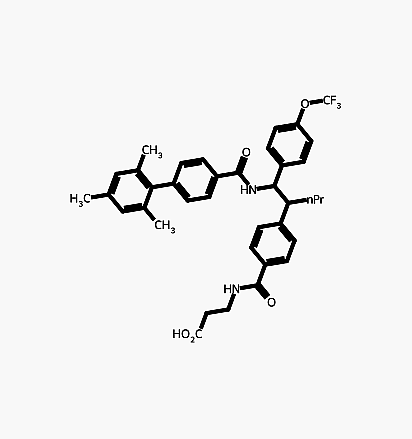 CCCC(c1ccc(C(=O)NCCC(=O)O)cc1)C(NC(=O)c1ccc(-c2c(C)cc(C)cc2C)cc1)c1ccc(OC(F)(F)F)cc1